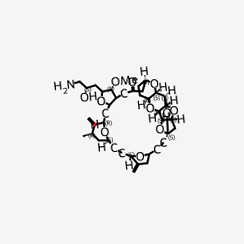 C=C1CC2CC[C@@]34C[C@H]5O[C@H]6[C@@H](O3)[C@H]3O[C@H](CC[C@@H]3O[C@H]6[C@H]5O4)CC(=O)CC3C(C[C@H]4O[C@@H](CC[C@@H]1O2)C[C@@H](C)C4=C)OC(C[C@H](O)CN)[C@@H]3OC